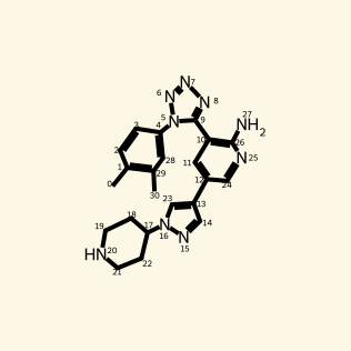 Cc1ccc(-n2nnnc2-c2cc(-c3cnn(C4CCNCC4)c3)cnc2N)cc1C